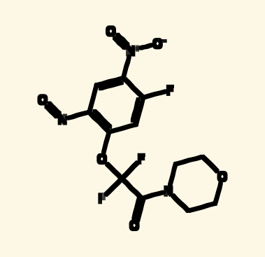 O=Nc1cc([N+](=O)[O-])c(F)cc1OC(F)(F)C(=O)N1CCOCC1